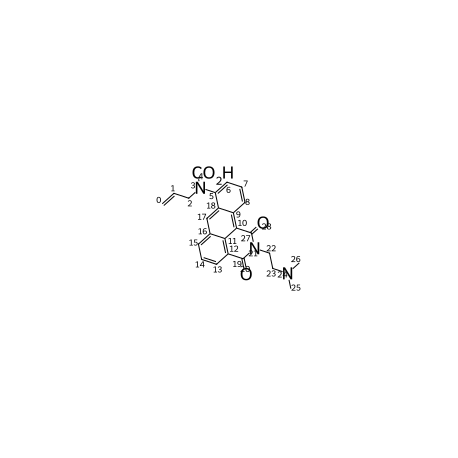 C=CCN(C(=O)O)c1cccc2c3c4c(cccc4cc12)C(=O)N(CCN(C)C)C3=O